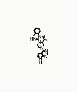 Cc1ccccc1NC(=N)N1CCN(c2ncnc3[nH]ccc23)CC1C(C)C